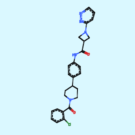 O=C(Nc1ccc(C2CCN(C(=O)c3ccccc3Cl)CC2)cc1)C1CN(c2cccnn2)C1